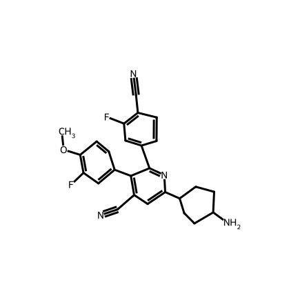 COc1ccc(-c2c(C#N)cc(C3CCC(N)CC3)nc2-c2ccc(C#N)c(F)c2)cc1F